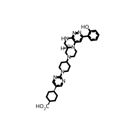 O=C(O)[C@H]1CC[C@@H](c2cnc(N3CCC(N4CCN5c6cc(-c7ccccc7O)nnc6NC[C@H]5C4)CC3)nc2)CC1